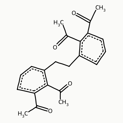 CC(=O)c1cccc(CCc2cccc(C(C)=O)c2C(C)=O)c1C(C)=O